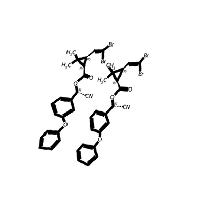 CC1(C)[C@H](C(=O)O[C@H](C#N)c2cccc(Oc3ccccc3)c2)[C@@H]1C=C(Br)Br.CC1(C)[C@H](C(=O)O[C@H](C#N)c2cccc(Oc3ccccc3)c2)[C@@H]1C=C(Br)Br